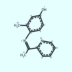 CC(=Nc1ccc(O)cc1C)c1ccccn1